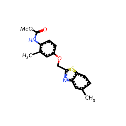 COC(=O)Nc1ccc(OCc2nc3cc(C)ccc3s2)cc1C